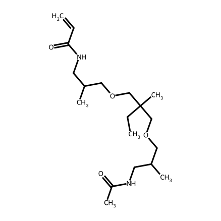 C=CC(=O)NCC(C)COCC(C)(CC)COCC(C)CNC(C)=O